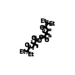 CCC(CC)C(=O)CC(C)(C)C(=O)OOC(=O)C(C)(C)CC(=O)C(CC)CC